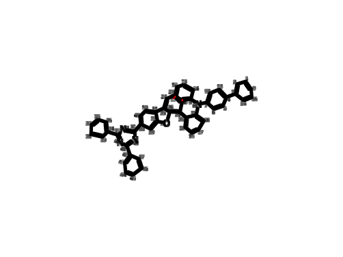 c1ccc(-c2ccc(N(c3ccccc3)c3ccccc3-c3cccc4c3oc3cc(-c5nc(-c6ccccc6)nc(-c6ccccc6)n5)ccc34)cc2)cc1